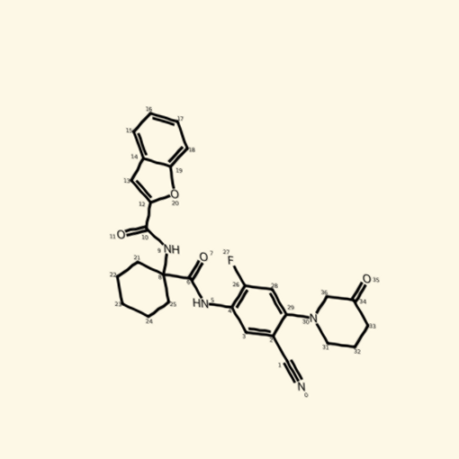 N#Cc1cc(NC(=O)C2(NC(=O)c3cc4ccccc4o3)CCCCC2)c(F)cc1N1CCCC(=O)C1